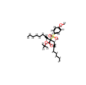 CCCCCC#CCC(C#CCCCCCC)(C(=O)OC(C)(C)C)S(=O)(=O)c1ccc(OC)cc1